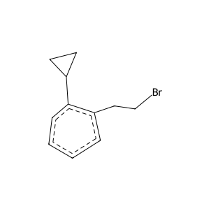 BrCCc1ccccc1C1CC1